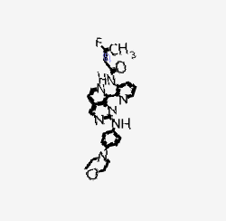 C/C(F)=C\C(=O)Nc1cccnc1-c1nccc2cnc(Nc3ccc(N4CCOCC4)cc3)nc12